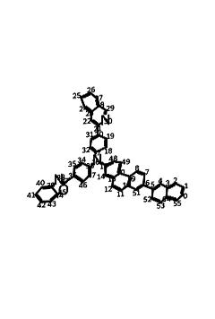 c1ccc2cc(-c3ccc4c(ccc5cc(N(c6ccc(-c7cc8ccccc8cn7)cc6)c6ccc(-c7nc8ccccc8o7)cc6)ccc54)c3)ccc2c1